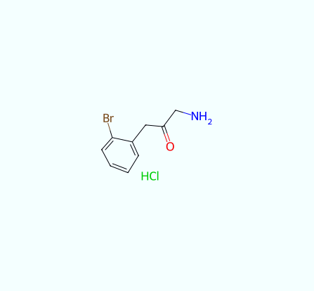 Cl.NCC(=O)Cc1ccccc1Br